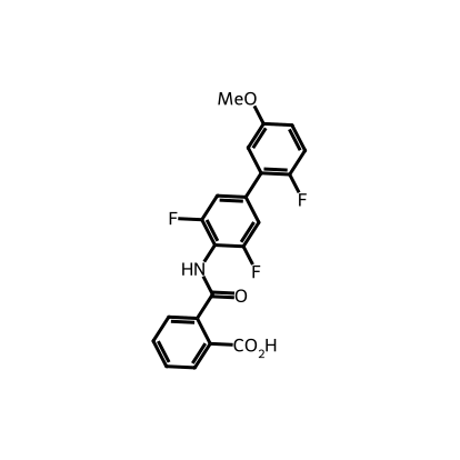 COc1ccc(F)c(-c2cc(F)c(NC(=O)c3ccccc3C(=O)O)c(F)c2)c1